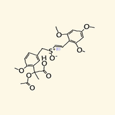 COc1cc(OC)c(/C=C/[S+]([O-])Cc2ccc(OC)c(C(C)(OC(C)=O)C(=O)O)c2)c(OC)c1